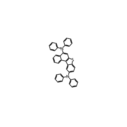 c1ccc(N(c2ccccc2)c2ccc3sc4cc(N(c5ccccc5)c5ccccc5)c5ccccc5c4c3c2)cc1